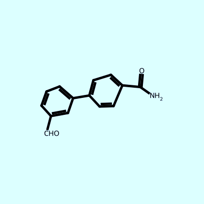 NC(=O)c1ccc(-c2cccc(C=O)c2)cc1